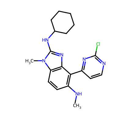 CNc1ccc2c(nc(NC3CCCCC3)n2C)c1-c1ccnc(Cl)n1